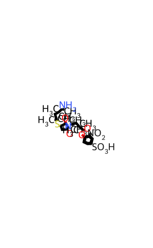 CC(N)C(C)(C)CC(C)(C)SC1CC(=O)N(C(C)(C)CC(C)(C)C(=O)Oc2ccc(S(=O)(=O)O)cc2[N+](=O)[O-])C1=O